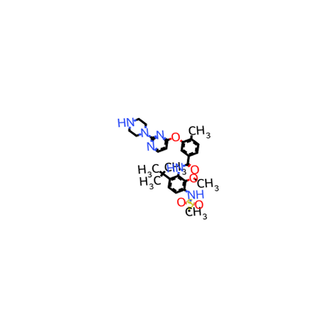 COc1c(NS(C)(=O)=O)ccc(C(C)(C)C)c1NC(=O)c1ccc(C)c(Oc2ccnc(N3CCNCC3)n2)c1